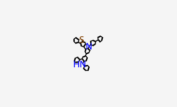 c1ccc(Nc2ccc(-c3ccc4c(c3)c3cc5c(cc3n4-c3ccc(-c4ccccc4)cc3)sc3ccccc35)cc2-c2ccccc2)cc1